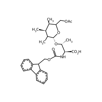 CC(=O)OCC1O[C@H](O[C@H](C)[C@H](NC(=O)OCC2c3ccccc3-c3ccccc32)C(=O)O)C(C)[C@@H](C)[C@H]1C